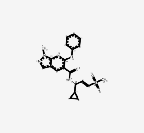 Cn1ncc2cc(C(=O)N[C@H](/C=C/S(C)(=O)=O)C3CC3)c(Oc3ccccc3)nc21